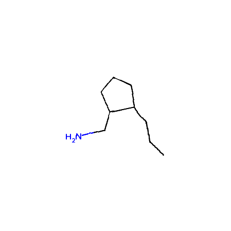 CCCC1CCCC1CN